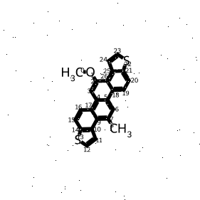 COc1cc2c(cc(C)c3c4ccsc4ccc23)c2ccc3sccc3c12